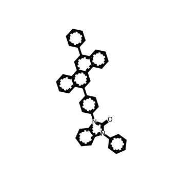 O=c1n(-c2ccccc2)c2ccccc2n1-c1ccc(-c2cc3c4ccccc4c(-c4ccccc4)cc3c3ccccc23)cc1